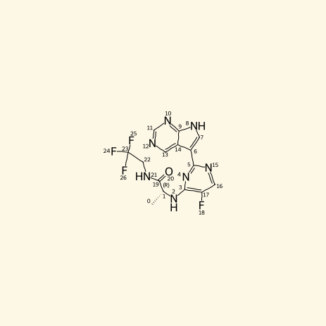 C[C@@H](Nc1nc(-c2c[nH]c3ncncc23)ncc1F)C(=O)NCC(F)(F)F